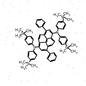 C[Si](C)(C)c1ccc(N(c2ccc([Si](C)(C)C)cc2)c2cc(-c3ccccc3)c3ccc4c(N(c5ccc([Si](C)(C)C)cc5)c5ccc([Si](C)(C)C)cc5)cc(-c5ccccc5)c5ccc2c3c54)cc1